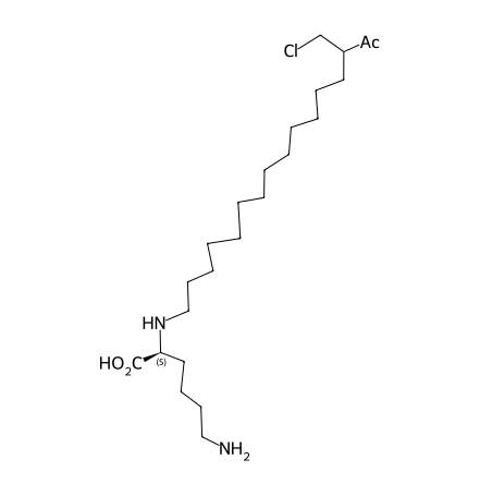 CC(=O)C(CCl)CCCCCCCCCCCCCN[C@@H](CCCCN)C(=O)O